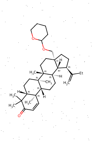 C=C(CC)[C@@H]1CC[C@]2(COC3CCCCO3)CC[C@]3(C)[C@H](CC[C@@H]4[C@@]5(C)C=CC(=O)C(C)(C)[C@@H]5CC[C@]43C)[C@@H]12